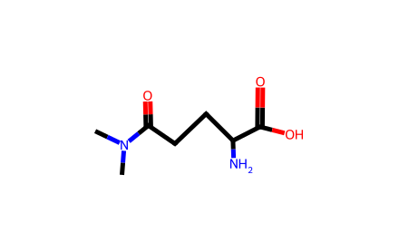 CN(C)C(=O)CCC(N)C(=O)O